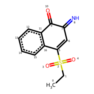 CCS(=O)(=O)C1=CC(=N)C(=O)c2ccccc21